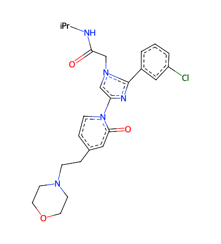 CC(C)NC(=O)Cn1cc(-n2ccc(CCN3CCOCC3)cc2=O)nc1-c1cccc(Cl)c1